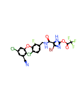 N#Cc1cc(Cl)cc(Oc2c(Cl)ccc(CNC(=O)c3[nH]c(OC(=O)C(F)(F)F)nc3Br)c2F)c1